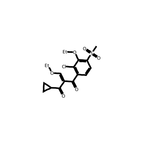 CCOC=C(C(=O)c1ccc(S(C)(=O)=O)c(OCC)c1Cl)C(=O)C1CC1